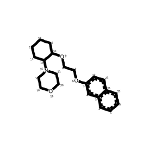 c1ccc2cc(OCCOC3CCCCC3N3CCOCC3)ccc2c1